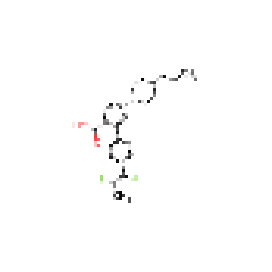 CCCC1CCC(c2ccc(C(=O)O)c(-c3ccc(C(F)=C(C)F)cc3)c2)CC1